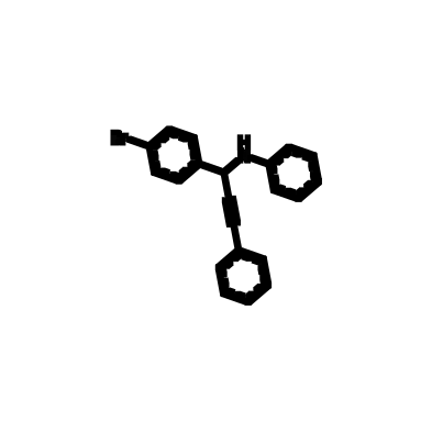 Brc1ccc(C(C#Cc2ccccc2)Nc2ccccc2)cc1